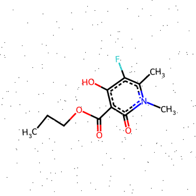 CCCOC(=O)c1c(O)c(F)c(C)n(C)c1=O